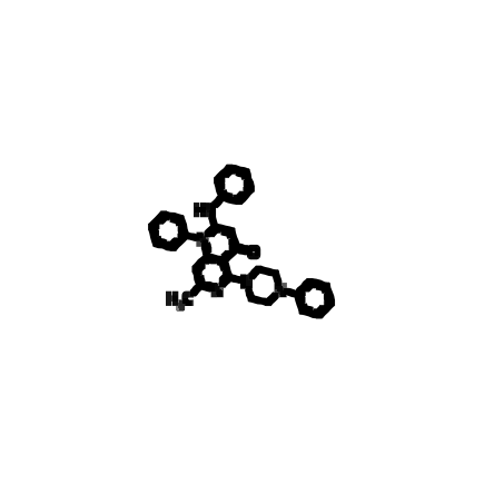 Cc1cc2c(c(N3CCN(c4ccccc4)CC3)n1)c(=O)cc(Nc1ccccc1)n2-c1ccccc1